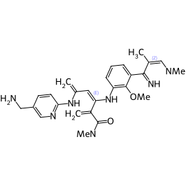 C=C(/C=C(/Nc1cccc(C(=N)/C(C)=C\NC)c1OC)C(=C)C(=O)NC)Nc1ccc(CN)cn1